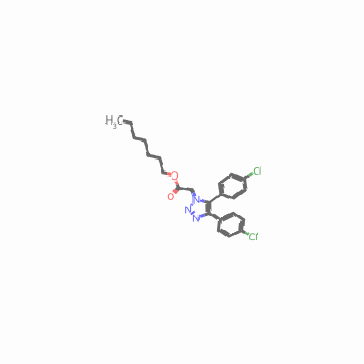 CCCCCCCOC(=O)Cn1nnc(-c2ccc(Cl)cc2)c1-c1ccc(Cl)cc1